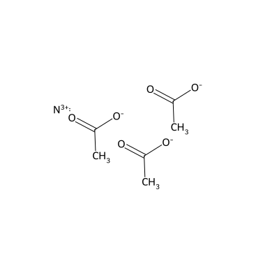 CC(=O)[O-].CC(=O)[O-].CC(=O)[O-].[N+3]